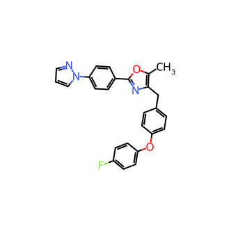 Cc1oc(-c2ccc(-n3cccn3)cc2)nc1Cc1ccc(Oc2ccc(F)cc2)cc1